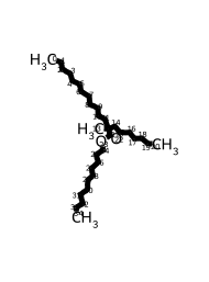 CCCCCCCCCCCCC(C)(CCCCCCC)C(=O)OCCCCCCCCCCC